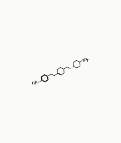 CCCc1ccc(CCC2=CCC(CC[C@H]3CC[C@H](CCC)CC3)CC2)cc1